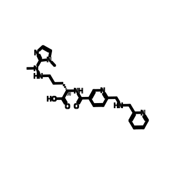 CN(NCCC[C@H](NC(=O)c1ccc(CNCc2ccccn2)nc1)C(=O)O)c1nccn1C